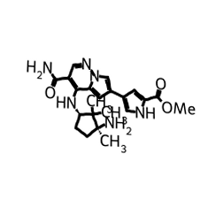 COC(=O)c1cc(-c2cc3c(N[C@@H]4CC[C@](C)(N)C4(C)C)c(C(N)=O)cnn3c2)c[nH]1